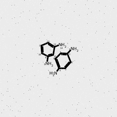 Nc1ccc(N)cc1.Nc1cccc(N)c1